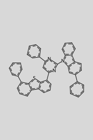 c1ccc(-c2ccc3c4ccccc4n(-c4nc(-c5ccccc5)cc(-c5cccc6c5sc5c(-c7ccccc7)cccc56)n4)c3c2)cc1